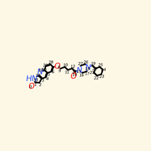 O=C1Cc2cc3cc(OCCCCC(=O)N4CCN(CC5CCCCC5)CC4)ccc3nc2N1